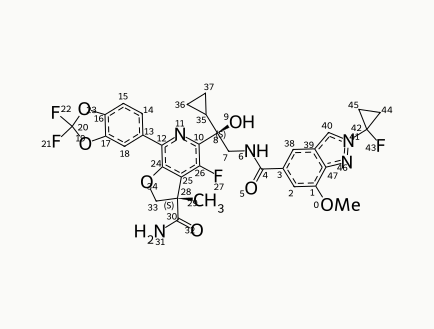 COc1cc(C(=O)NC[C@](O)(c2nc(-c3ccc4c(c3)OC(F)(F)O4)c3c(c2F)[C@](C)(C(N)=O)CO3)C2CC2)cc2cn(C3(F)CC3)nc12